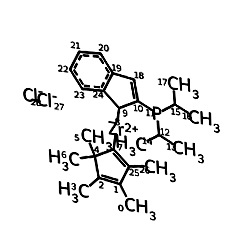 CC1=C(C)C(C)(C)[C]([Zr+2][CH]2C(P(C(C)C)C(C)C)=Cc3ccccc32)=C1C.[Cl-].[Cl-]